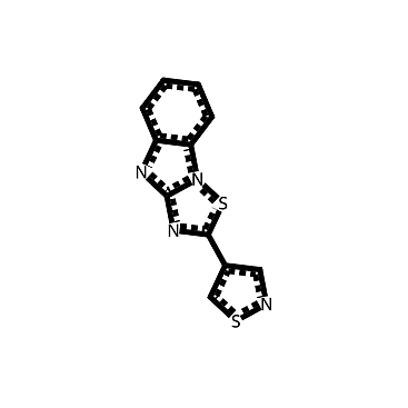 c1ccc2c(c1)nc1nc(-c3cnsc3)sn12